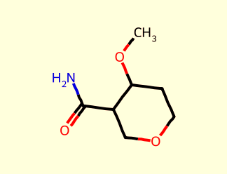 COC1CCOCC1C(N)=O